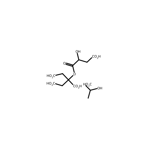 CC(O)C(=O)O.O=C(O)CC(O)C(=O)OC(CC(=O)O)(CC(=O)O)C(=O)O